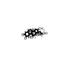 CC1C[C@H]2[C@@H]3CCC4CC(=O)C(=O)C[C@]4(C)[C@@]3(F)C(O)C[C@]2(C)[C@@]1(O)CCO